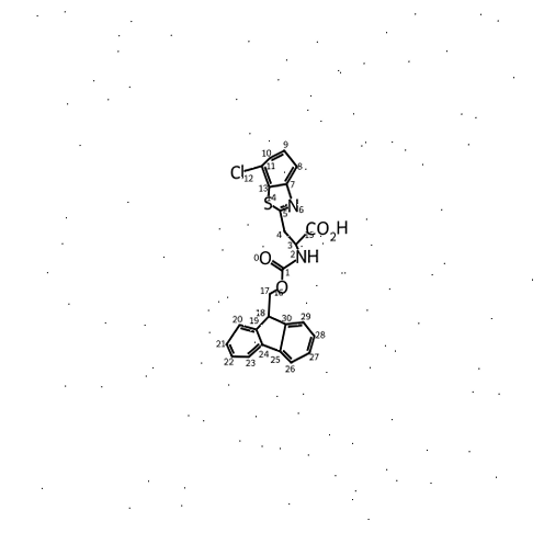 O=C(NC(Cc1nc2cccc(Cl)c2s1)C(=O)O)OCC1c2ccccc2-c2ccccc21